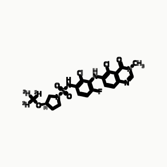 [2H]C([2H])([2H])O[C@@H]1CCN(S(=O)(=O)Nc2ccc(F)c(Nc3ccc4ncn(C)c(=O)c4c3Cl)c2Cl)C1